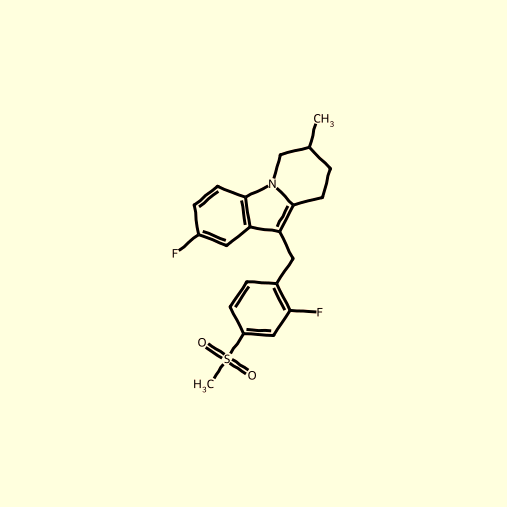 CC1CCc2c(Cc3ccc(S(C)(=O)=O)cc3F)c3cc(F)ccc3n2C1